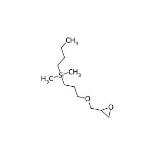 CCCC[Si](C)(C)CCCOCC1CO1